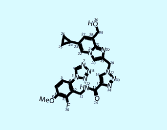 COc1ccc(-n2cnnn2)c(CNC(=O)c2cn(Cc3cn4cc(C5CC5)cc(CO)c4n3)nn2)c1F